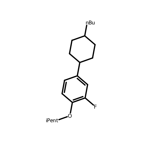 CCCCC1CCC(c2ccc(OC(C)CCC)c(F)c2)CC1